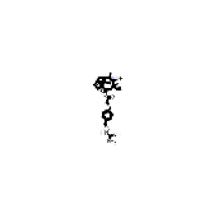 C=C[C@]1(C)C[C@@H](OC(=O)CSc2ccc(/C=N/NC(=N)N)cc2)[C@]2(S)CCC34CC(/C(C)=C\1O)(C(C)CC3=O)C42